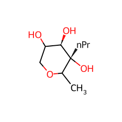 CCC[C@@]1(O)C(C)OCC(O)[C@H]1O